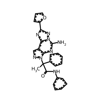 CC(C(=O)Nc1ccccc1)(c1ccccc1)n1ncc2c1nc(N)n1nc(-c3ccco3)nc21